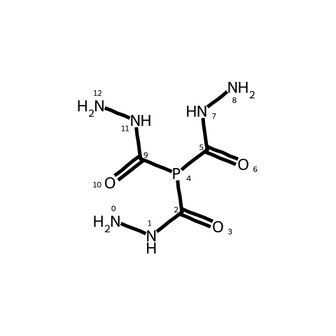 NNC(=O)P(C(=O)NN)C(=O)NN